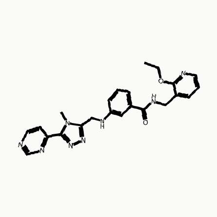 CCOc1ncccc1CNC(=O)c1cccc(NCc2nnc(-c3ccncn3)n2C)c1